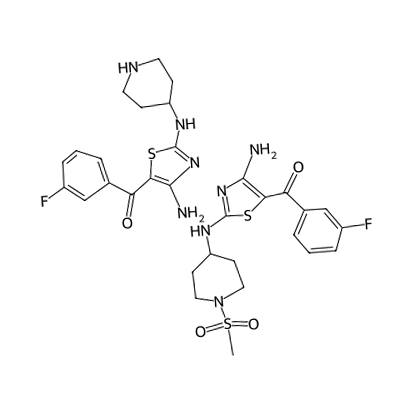 CS(=O)(=O)N1CCC(Nc2nc(N)c(C(=O)c3cccc(F)c3)s2)CC1.Nc1nc(NC2CCNCC2)sc1C(=O)c1cccc(F)c1